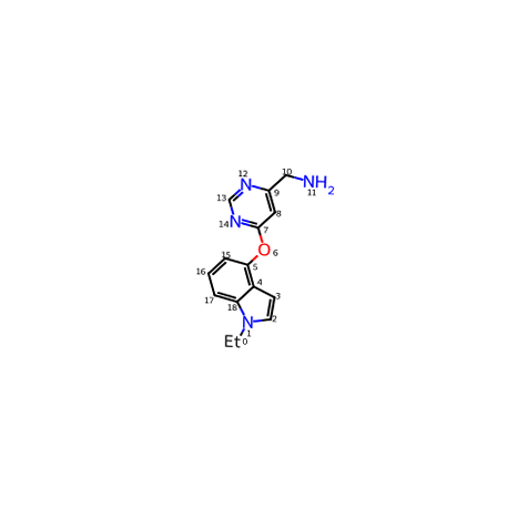 CCn1ccc2c(Oc3cc(CN)ncn3)cccc21